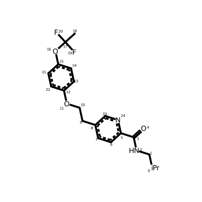 CC(C)CNC(=O)c1ccc(CCOc2ccc(OC(C)(F)F)cc2)cn1